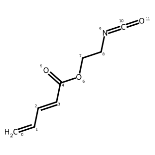 C=C/C=C/C(=O)OCCN=C=O